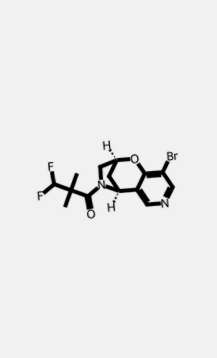 CC(C)(C(=O)N1C[C@@H]2C[C@H]1c1cncc(Br)c1O2)C(F)F